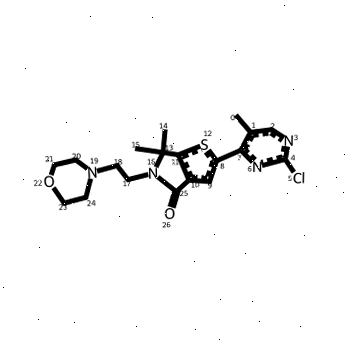 Cc1cnc(Cl)nc1-c1cc2c(s1)C(C)(C)N(CCN1CCOCC1)C2=O